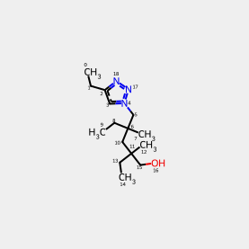 CCc1cn(CC(C)(CC)CC(C)(CC)CO)nn1